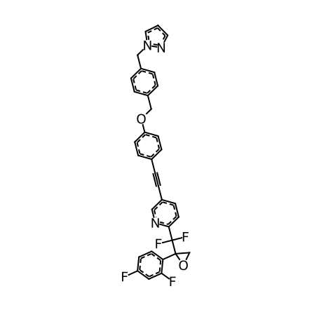 Fc1ccc(C2(C(F)(F)c3ccc(C#Cc4ccc(OCc5ccc(Cn6cccn6)cc5)cc4)cn3)CO2)c(F)c1